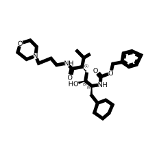 CC(C)[C@H](C[C@H](O)[C@H](CC1CCCCC1)NC(=O)OCc1ccccc1)C(=O)NCCCN1CCOCC1